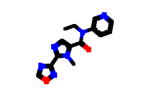 CCN(C(=O)c1cnc(-c2ncon2)n1C)c1cccnc1